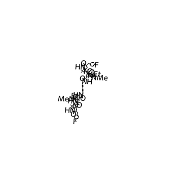 CC[C@H](NC)C(=O)N[C@@H](CCC(=O)NCC#CC#CCNC(=O)CC[C@H](NC(=O)[C@H](CC)NC)C(=O)N1CC(C)(C)c2[nH]c(=O)c(Cc3ccc(F)cc3)cc21)C(=O)N1CC(C)(C)c2[nH]c(=O)c(Cc3ccc(F)cc3)cc21